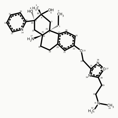 CC[C@@]12C[C@@](C)(O)[C@](O)(c3ccccn3)C[C@@]1(N)CCc1cc(OCc3noc(CCN(C)C)n3)ccc12